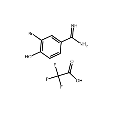 N=C(N)c1ccc(O)c(Br)c1.O=C(O)C(F)(F)F